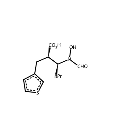 CCC[C@@H]([C@@H](Cc1ccsc1)C(=O)O)N(O)C=O